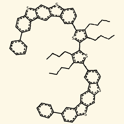 CCCCc1c(-c2ccc3sc4cc5sc6ccc(-c7ccccc7)cc6c5cc4c3c2)sc(-c2sc(-c3ccc4sc5cc6sc7ccc(-c8ccccc8)cc7c6cc5c4c3)c(CCCC)c2CCCC)c1CCCC